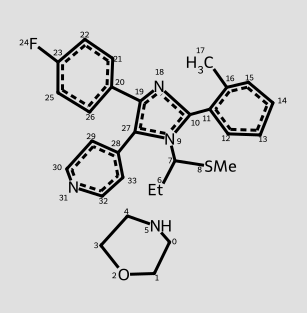 C1COCCN1.CCC(SC)n1c(-c2ccccc2C)nc(-c2ccc(F)cc2)c1-c1ccncc1